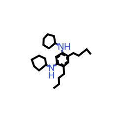 CCCCc1cc(CCCC)c(NC2CCCCC2)cc1NC1CCCCC1